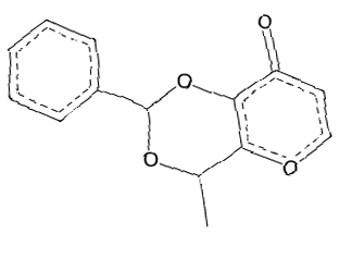 CC1OC(c2ccccc2)Oc2c1occc2=O